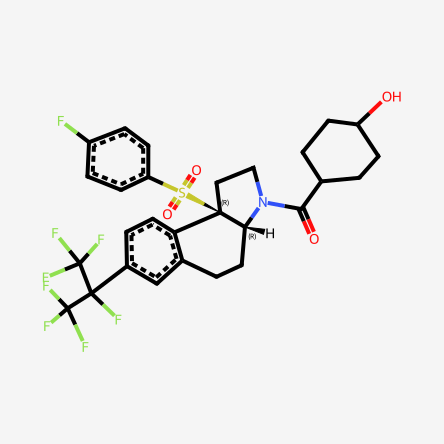 O=C(C1CCC(O)CC1)N1CC[C@@]2(S(=O)(=O)c3ccc(F)cc3)c3ccc(C(F)(C(F)(F)F)C(F)(F)F)cc3CC[C@@H]12